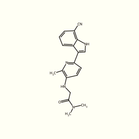 Cc1nc(-c2c[nH]c3c(C#N)cccc23)ccc1NCC(=O)N(C)C